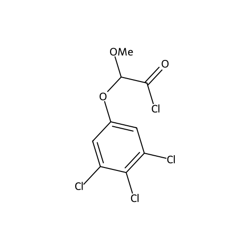 COC(Oc1cc(Cl)c(Cl)c(Cl)c1)C(=O)Cl